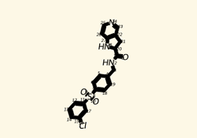 O=C(NCc1ccc(S(=O)(=O)c2cccc(Cl)c2)cc1)C1Cc2cnccc2N1